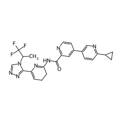 CC(n1cnnc1C1=CCCC(NC(=O)c2cc(-c3ccc(C4CC4)nc3)ccn2)=N1)C(F)(F)F